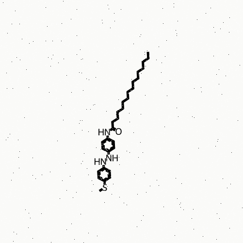 CCCCCCCCCCCCCCCC(=O)Nc1ccc(NNc2ccc(SC)cc2)cc1